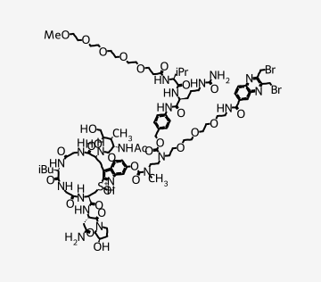 CC[C@H](C)[C@@H]1NC(=O)CNC(=O)[C@H](NC(=O)[C@@H](NC(C)=O)[C@@H](C)[C@@H](O)CO)Cc2c([nH]c3cc(OC(=O)N(C)CCN(CCOCCOCCOCCNC(=O)c4ccc5nc(CBr)c(CBr)nc5c4)C(=O)OCc4ccc(NC(=O)[C@H](CCCNC(N)=O)NC(=O)[C@@H](NC(=O)CCOCCOCCOCCOCCOC)C(C)C)cc4)ccc23)[S+]([O-])C[C@@H](C(=O)N[C@@H](CC(N)=O)C(=O)N2CC[C@@H](O)C2)NC(=O)CNC1=O